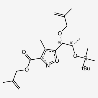 C=C(C)COC(=O)c1noc([C@H](OCC(=C)C)[C@H](C)O[Si](C)(C)C(C)(C)C)c1C